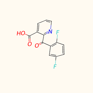 O=C(O)c1cccnc1C(=O)c1cc(F)ccc1F